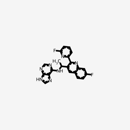 CC(Nc1ncnc2[nH]cnc12)c1cc2ccc(F)cc2nc1-c1cccc(F)n1